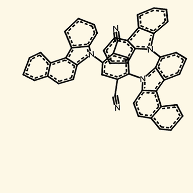 N#Cc1cc(-n2c3ccc4ccccc4c3c3cccc(-n4c5ccccc5c5ccccc54)c32)c(C#N)cc1-n1c2ccccc2c2c3ccccc3ccc21